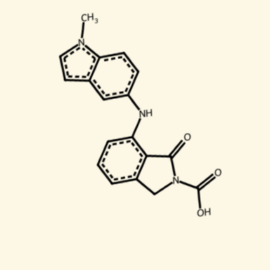 Cn1ccc2cc(Nc3cccc4c3C(=O)N(C(=O)O)C4)ccc21